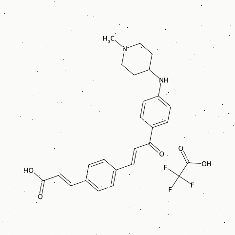 CN1CCC(Nc2ccc(C(=O)C=Cc3ccc(C=CC(=O)O)cc3)cc2)CC1.O=C(O)C(F)(F)F